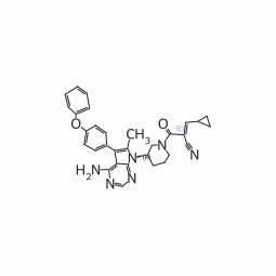 Cc1c(-c2ccc(Oc3ccccc3)cc2)c2c(N)ncnc2n1[C@@H]1CCCN(C(=O)/C(C#N)=C/C2CC2)C1